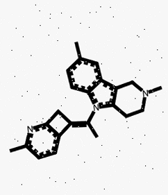 C/C(=C1/Cc2nc(C)ccc21)n1c2c(c3cc(C)ccc31)CN(C)CC2